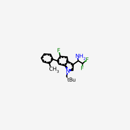 Cc1ccccc1-c1cc2c(cc1F)c(C(N)C(F)F)cn2CC(C)(C)C